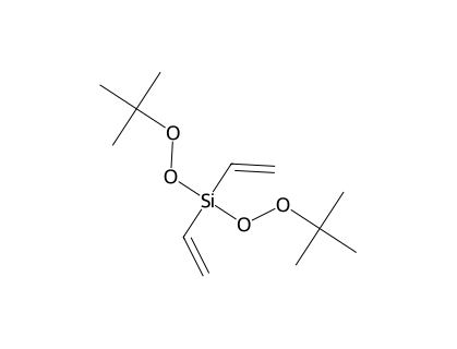 C=C[Si](C=C)(OOC(C)(C)C)OOC(C)(C)C